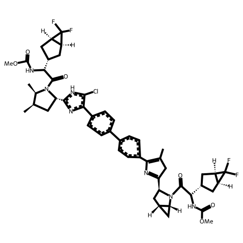 COC(=O)NC(C(=O)N1[C@@H]2C[C@@H]2C[C@H]1C1=NC(c2ccc(-c3ccc(-c4nc([C@@H]5C[C@@H](C)[C@@H](C)N5C(=O)C(NC(=O)OC)[C@@H]5C[C@@H]6[C@H](C5)C6(F)F)[nH]c4Cl)cc3)cc2)=C(C)C1)[C@@H]1C[C@@H]2[C@H](C1)C2(F)F